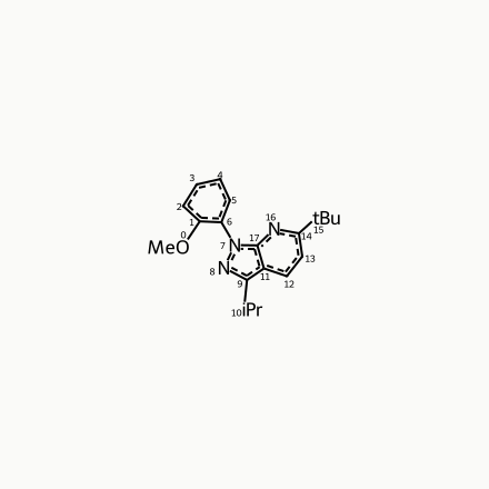 COc1ccccc1-n1nc(C(C)C)c2ccc(C(C)(C)C)nc21